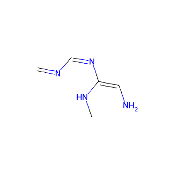 C=N/C=N\C(=C\N)NC